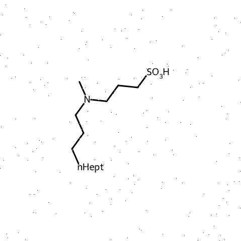 CCCCCCCCCCN(C)CCCS(=O)(=O)O